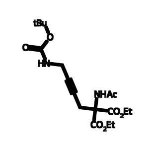 CCOC(=O)C(CC#CCNC(=O)OC(C)(C)C)(NC(C)=O)C(=O)OCC